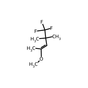 CO/C(C)=C/C(C)(C)C(F)(F)F